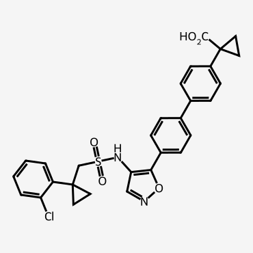 O=C(O)C1(c2ccc(-c3ccc(-c4oncc4NS(=O)(=O)CC4(c5ccccc5Cl)CC4)cc3)cc2)CC1